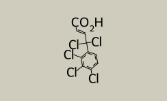 O=C(O)C=CC(Cl)(Cl)c1ccc(Cl)c(Cl)c1Cl